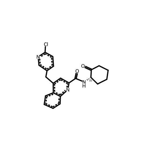 O=C(N[C@H]1CCCCC1=O)c1cc(Cc2ccc(Cl)nc2)c2ccccc2n1